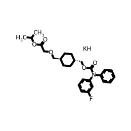 CC(C)OC(=O)COC[C@H]1CC[C@H](COC(=O)N(c2ccccc2)c2cccc(F)c2)CC1.[KH]